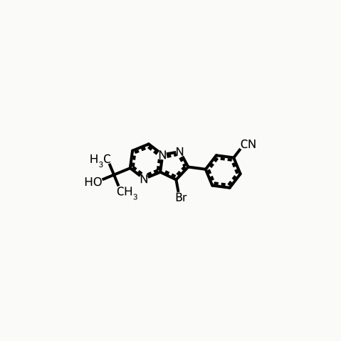 CC(C)(O)c1ccn2nc(-c3cccc(C#N)c3)c(Br)c2n1